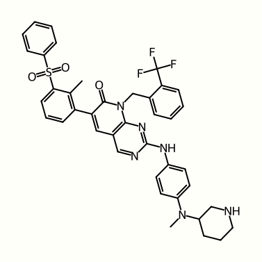 Cc1c(-c2cc3cnc(Nc4ccc(N(C)C5CCCNC5)cc4)nc3n(Cc3ccccc3C(F)(F)F)c2=O)cccc1S(=O)(=O)c1ccccc1